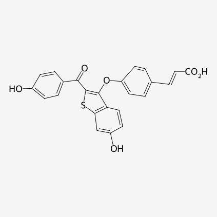 O=C(O)/C=C/c1ccc(Oc2c(C(=O)c3ccc(O)cc3)sc3cc(O)ccc23)cc1